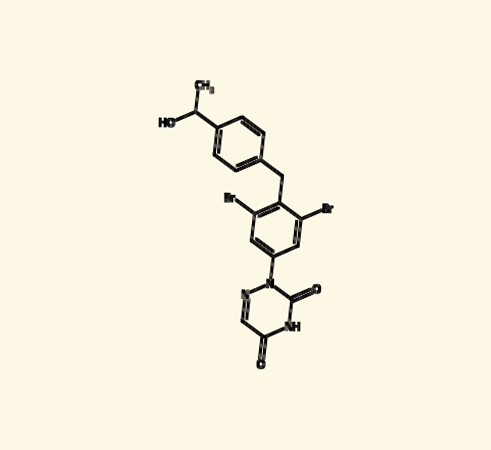 CC(O)c1ccc(Cc2c(Br)cc(-n3ncc(=O)[nH]c3=O)cc2Br)cc1